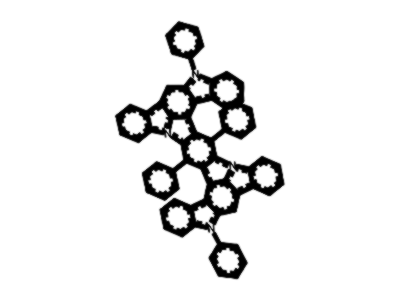 c1ccc(-c2c3c4c5c6ccccc6n(-c6ccccc6)c5cc5c6ccccc6n(c3c(-c3ccccc3)c3c6c7c8ccccc8n(-c8ccccc8)c7cc7c8ccccc8n(c23)c76)c54)cc1